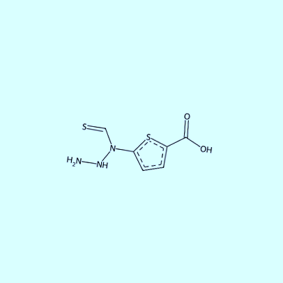 NNN(C=S)c1ccc(C(=O)O)s1